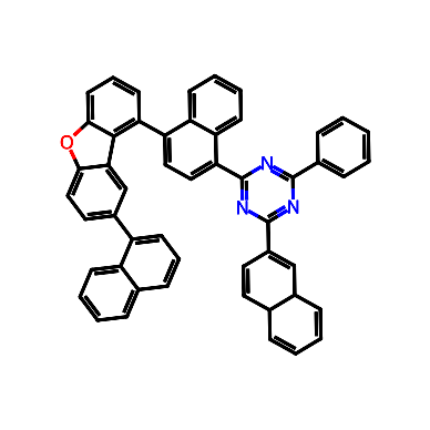 C1=CC2C=CC(c3nc(-c4ccccc4)nc(-c4ccc(-c5cccc6oc7ccc(-c8cccc9ccccc89)cc7c56)c5ccccc45)n3)=CC2C=C1